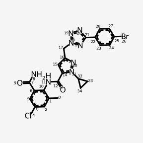 Cc1cc(Cl)cc(C(N)=O)c1NC(=O)c1cc(Cn2nnc(-c3ccc(Br)cc3)n2)nn1C1CC1